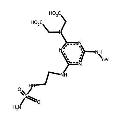 CCCNc1nc(NCCNS(N)(=O)=O)nc(N(CC(=O)O)CC(=O)O)n1